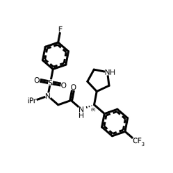 CC(C)N(CC(=O)N[C@@H](c1ccc(C(F)(F)F)cc1)C1CCNC1)S(=O)(=O)c1ccc(F)cc1